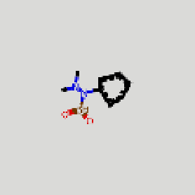 CN(C)N(c1cc[c]cc1)[SH](=O)=O